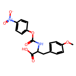 COc1ccc(CC(NC(=O)Oc2ccc([N+](=O)[O-])cc2)C(=O)O)cc1